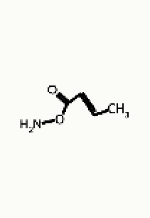 CC=CC(=O)ON